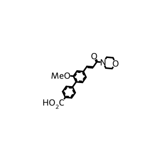 COc1cc(/C=C/C(=O)N2CCOCC2)ccc1-c1ccc(C(=O)O)cc1